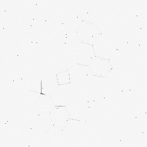 CC(C)(F)[C@H](c1cc(F)cc(C#N)c1)C1CN(Cc2cccc(C#N)c2-c2ccc(Cl)cc2)C1